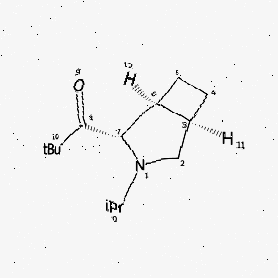 CC(C)N1C[C@@H]2CC[C@@H]2[C@H]1C(=O)C(C)(C)C